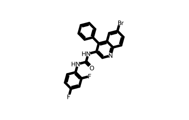 O=C(Nc1ccc(F)cc1F)Nc1cnc2ccc(Br)cc2c1-c1ccccc1